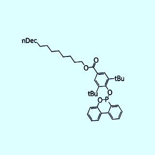 CCCCCCCCCCCCCCCCCCOC(=O)c1cc(C(C)(C)C)c(OP2Oc3ccccc3-c3ccccc32)c(C(C)(C)C)c1